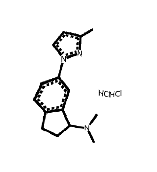 Cc1ccn(-c2ccc3c(c2)C(N(C)C)CC3)n1.Cl.Cl